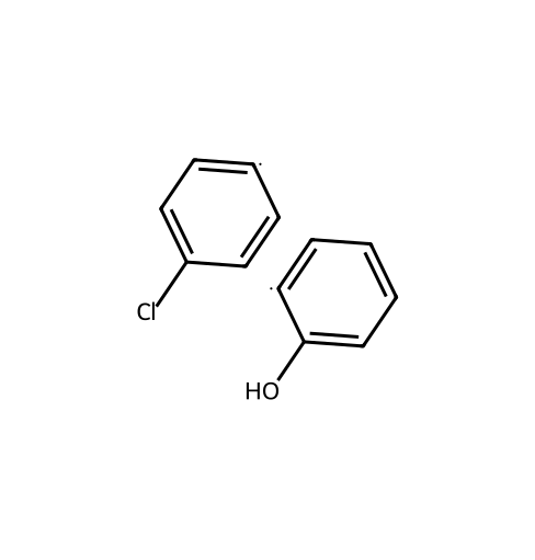 Clc1cc[c]cc1.Oc1[c]cccc1